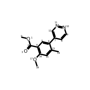 COC(=O)c1cc(-c2ccnnc2)c(C)cc1OC